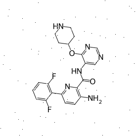 Nc1ccc(-c2c(F)cccc2F)nc1C(=O)Nc1cncnc1OC1CCNCC1